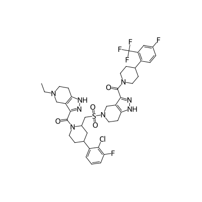 CCN1CCc2[nH]nc(C(=O)N3CCC(c4cccc(F)c4Cl)CC3CS(=O)(=O)N3CCc4[nH]nc(C(=O)N5CCC(c6ccc(F)cc6C(F)(F)F)CC5)c4C3)c2C1